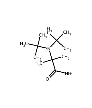 CC(C)(C)N(C(C)(C)C)C(C)(C)C([NH])=O